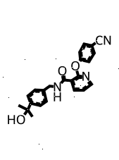 CC(C)(O)c1ccc(CNC(=O)c2cccnc2Oc2ccc(C#N)cc2)cc1